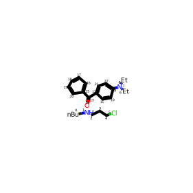 CCCCNCCCCl.CCN(CC)c1ccc(C(=O)c2ccccc2)cc1